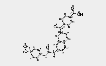 COc1ccc(CC(=O)Nc2ccc3c(c2)CN(C(=O)c2ccc(C(=O)O)cc2)C=C3)cc1